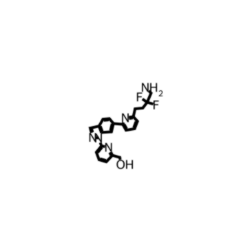 NCC(F)(F)CCc1cccc(-c2ccc3cnn(-c4cccc(CO)n4)c3c2)n1